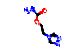 NC(=O)OCCn1[c]nnc1